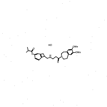 COc1cc2c(cc1OC)CCN(C(=O)CCNCC1Cc3cc(OC(=O)N(C)C)ccc31)CC2.Cl